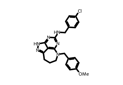 COc1ccc(CN2CCCc3n[nH]c4nc(NCc5ccc(Cl)cc5)nc2c34)cc1